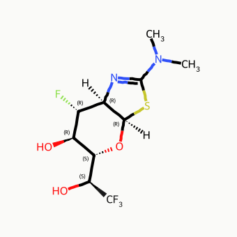 CN(C)C1=N[C@@H]2[C@@H](F)[C@H](O)[C@@H]([C@H](O)C(F)(F)F)O[C@@H]2S1